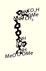 COCC[C@H](NC(=O)OC)C(=O)N1CCC[C@H]1c1ncc(-c2ccc(-c3ccc(-c4cnc([C@@H]5CCCN5C(=O)[C@@H](NC(=O)O)[C@@H](C)OC)[nH]4)cc3)cc2)[nH]1